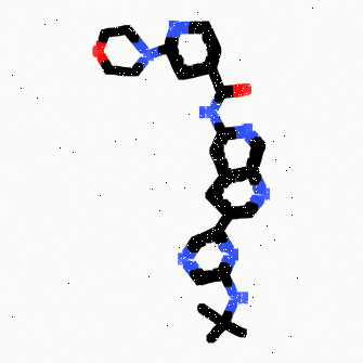 CC(C)(C)Nc1cncc(-c2cnc3cnc(NC(=O)c4ccnc(N5CCOCC5)c4)cc3c2)n1